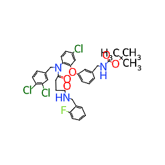 CC(C)(C)OC(=O)NCc1cccc(Oc2cc(Cl)ccc2N(Cc2ccc(Cl)c(Cl)c2)C(=O)CCC(=O)NCc2ccccc2F)c1